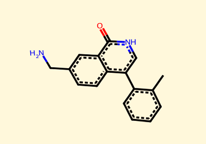 Cc1ccccc1-c1c[nH]c(=O)c2cc(CN)ccc12